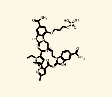 CCn1nc(C)cc1C(=O)/N=c1/[nH]c2cc(C(N)=O)ccc2n1C/C=C/Cn1/c(=N\C(=O)c2cc(C)nn2CC)[nH]c2cc(C(N)=O)cc(OCCCOP(=O)(O)O)c21